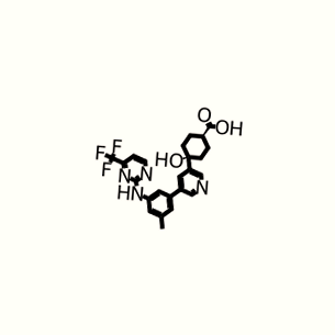 Cc1cc(Nc2nccc(C(F)(F)F)n2)cc(-c2cncc([C@]3(O)CC[C@H](C(=O)O)CC3)c2)c1